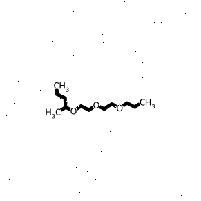 CCCOCCOCCOC(C)CCC